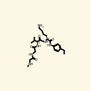 CCc1ccc(NC(=O)[C@H](CCCCN)NC(=O)[C@@H](NC(=O)CNC(=O)CNC)C(C)C)cc1